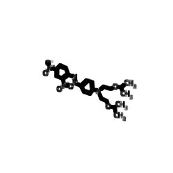 CC(C)OCCN(CCOC(C)C)c1ccc(N=Nc2ccc([N+](=O)[O-])cc2[N+](=O)[O-])cc1